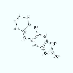 Fc1cc2nc(Br)sc2cc1OC1CCCCC1